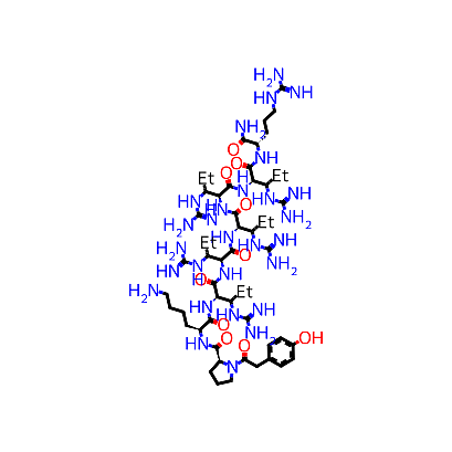 CCC(NC(=N)N)[C@H](NC(=O)[C@H](CCCCN)NC(=O)[C@@H]1CCCN1C(=O)Cc1ccc(O)cc1)C(=O)N[C@H](C(=O)N[C@H](C(=O)N[C@H](C(=O)N[C@H](C(=O)N[C@@H](CCCNC(=N)N)C(N)=O)C(CC)NC(=N)N)C(CC)NC(=N)N)C(CC)NC(=N)N)C(CC)NC(=N)N